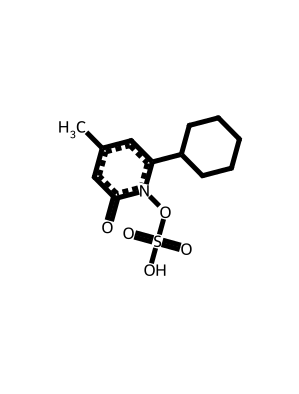 Cc1cc(C2CCCCC2)n(OS(=O)(=O)O)c(=O)c1